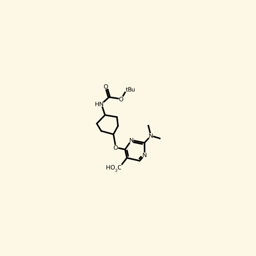 CN(C)c1ncc(C(=O)O)c(OC2CCC(NC(=O)OC(C)(C)C)CC2)n1